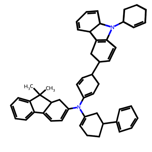 CC1(C)c2ccccc2C2=CC=C(N(C3=CCC(C4C=CC5=C(C4)C4C=CC=CC4N5C4C=CCCC4)C=C3)C3=CCCC(c4ccccc4)C3)CC21